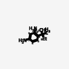 CCC(C)(C)c1ccc(N)cc1N